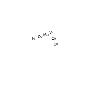 [Co].[Co].[Co].[Mn].[Ni].[V]